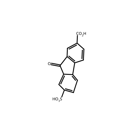 O=C(O)c1ccc2c(c1)C(=O)c1cc(S(=O)(=O)O)ccc1-2